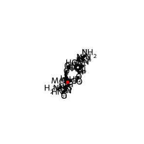 CO[C@H]1[C@H]2O[PH](=O)OC[C@@H]3[C@@H](O[PH](=O)OC[C@H]1O[C@H]2c1snc2c(=O)[nH]c(N)nc12)[C@@H](O)C1(n2cnc4c(N)ncnc42)C[C@@H]31